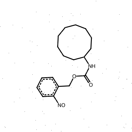 O=Nc1ccccc1COC(=O)NC1CCCCCCCCC1